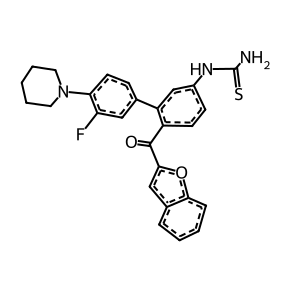 NC(=S)Nc1ccc(C(=O)c2cc3ccccc3o2)c(-c2ccc(N3CCCCC3)c(F)c2)c1